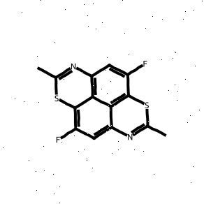 CC1=Nc2cc(F)c3c4c(cc(F)c(c24)S1)N=C(C)S3